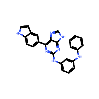 c1ccc(Nc2cccc(Nc3nc(-c4ccc5[nH]ccc5c4)c4nc[nH]c4n3)c2)cc1